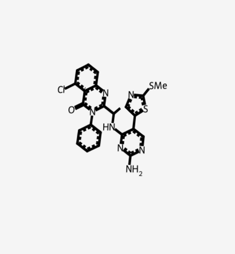 CSc1ncc(-c2cnc(N)nc2NC(C)c2nc3cccc(Cl)c3c(=O)n2-c2ccccc2)s1